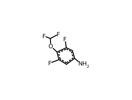 Nc1cc(F)c(OC(F)F)c(F)c1